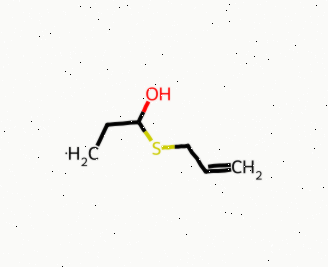 [CH2]CC(O)SCC=C